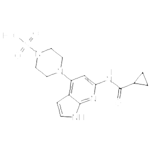 CS(=O)(=O)N1CCN(c2cc(NC(=O)C3CC3)nc3[nH]ccc23)CC1